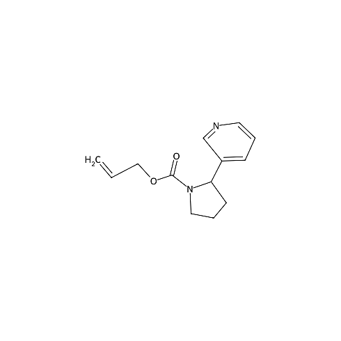 C=CCOC(=O)N1CCCC1c1cccnc1